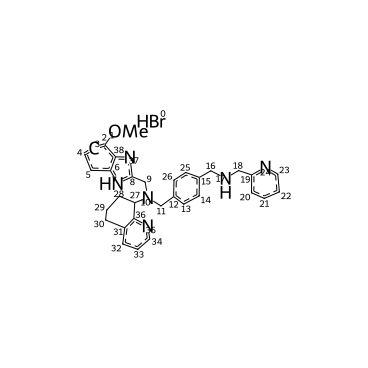 Br.COc1cccc2[nH]c(CN(Cc3ccc(CNCc4ccccn4)cc3)C3CCCc4cccnc43)nc12